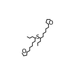 CCCC(CCCCCC1CCCO1)SC(CCC)CCCCCC1CCCO1